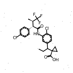 CCC(c1ccc(Cl)c(NC(=O)[C@H](c2ccc(Cl)cc2)[C@@H](C)C(F)(F)F)c1)C1(C(=O)O)CC1